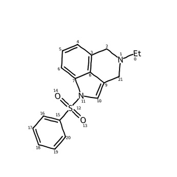 CCN1Cc2cccc3c2c(cn3S(=O)(=O)c2ccccc2)C1